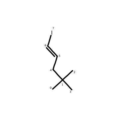 CC(C)(C)CC=CI